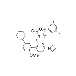 COc1ccc(C2CCCCC2)cc1-c1ccc(N2CCC2)nc1CN1C(=O)O[C@H](c2cc(C)cc(C)c2)[C@@H]1C